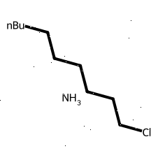 CCCCCCCCCCCl.N